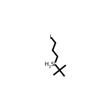 CC(C)(C)[SiH2]CCCI